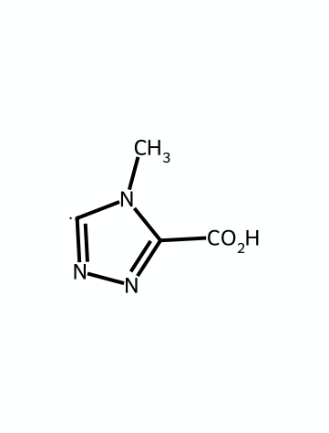 Cn1[c]nnc1C(=O)O